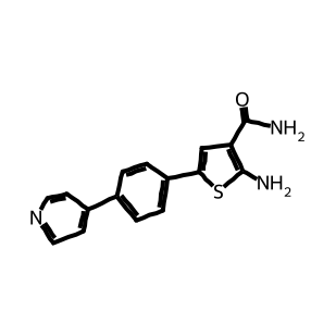 NC(=O)c1cc(-c2ccc(-c3ccncc3)cc2)sc1N